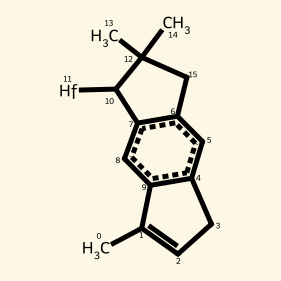 CC1=CCc2cc3c(cc21)[CH]([Hf])C(C)(C)C3